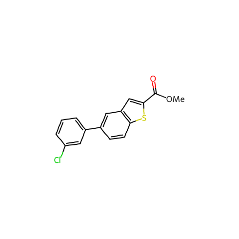 COC(=O)c1cc2cc(-c3cccc(Cl)c3)ccc2s1